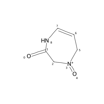 O=C1C[N+](=O)CC=CN1